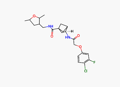 CC1CC(CNC(=O)C23CC(C2)[C@@H](NC(=O)COc2ccc(Cl)c(F)c2)C3)C(C)O1